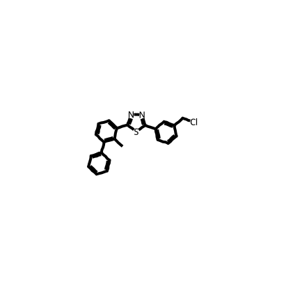 Cc1c(-c2ccccc2)cccc1-c1nnc(-c2cccc(CCl)c2)s1